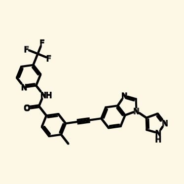 Cc1ccc(C(=O)Nc2cc(C(F)(F)F)ccn2)cc1C#Cc1ccc2c(c1)ncn2-c1cn[nH]c1